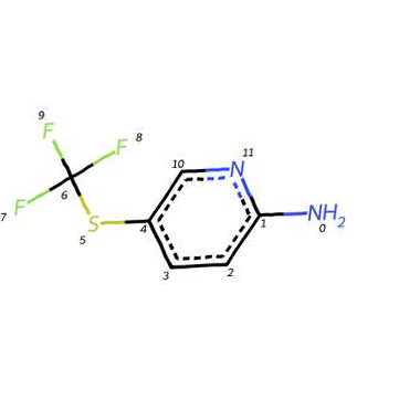 Nc1ccc(SC(F)(F)F)cn1